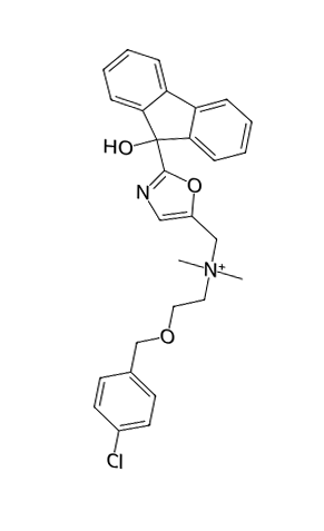 C[N+](C)(CCOCc1ccc(Cl)cc1)Cc1cnc(C2(O)c3ccccc3-c3ccccc32)o1